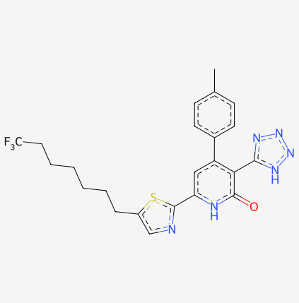 Cc1ccc(-c2cc(-c3ncc(CCCCCCC(F)(F)F)s3)[nH]c(=O)c2-c2nnn[nH]2)cc1